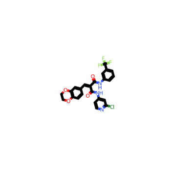 O=C(Nc1cccc(C(F)(F)F)c1)C(=Cc1ccc2c(c1)OCCO2)C(=O)Nc1ccnc(Cl)c1